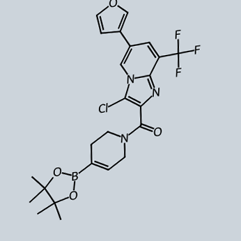 CC1(C)OB(C2=CCN(C(=O)c3nc4c(C(F)(F)F)cc(-c5ccoc5)cn4c3Cl)CC2)OC1(C)C